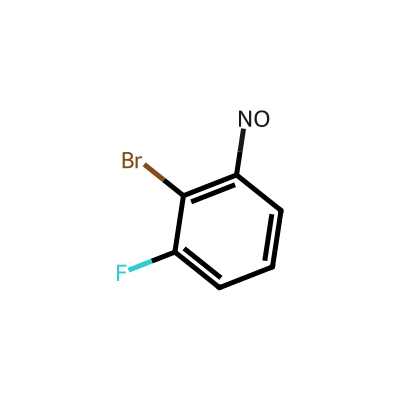 O=Nc1cccc(F)c1Br